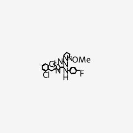 COC[C@@H]1CCCN1c1nc(Nc2ccc(CF)cc2)c2nc(Cc3c(Cl)cccc3Cl)sc2n1